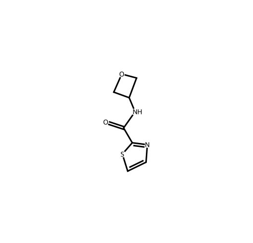 O=C(NC1COC1)c1nccs1